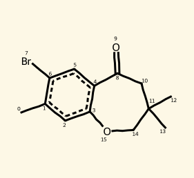 Cc1cc2c(cc1Br)C(=O)CC(C)(C)CO2